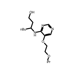 CCCCC(CCO)Nc1ncncc1OCCOC(C)C